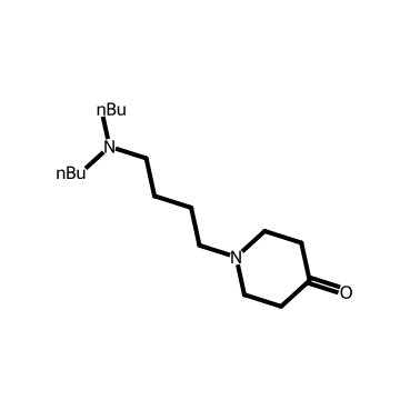 CCCCN(CCCC)CCCCN1CCC(=O)CC1